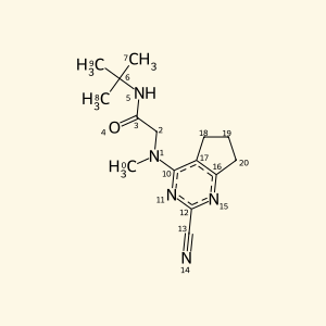 CN(CC(=O)NC(C)(C)C)c1nc(C#N)nc2c1CCC2